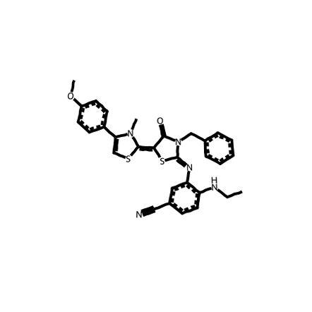 CCNc1ccc(C#N)cc1N=C1SC(=C2SC=C(c3ccc(OC)cc3)N2C)C(=O)N1Cc1ccccc1